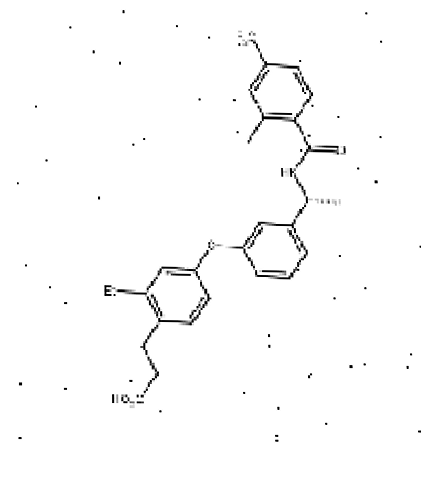 CCc1cc(Oc2cccc([C@@H](C)NC(=O)c3ccc(C(F)(F)F)cc3C)c2)ccc1CCC(=O)O